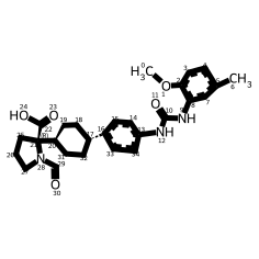 COc1ccc(C)cc1NC(=O)Nc1ccc([C@H]2CC[C@H]([C@@]3(C(=O)O)CCCN3C=O)CC2)cc1